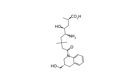 C[C@H](C[C@H](O)[C@@H](N)CC(C)(C)CC(=O)N1C[C@H](CO)Cc2ccccc21)C(=O)O